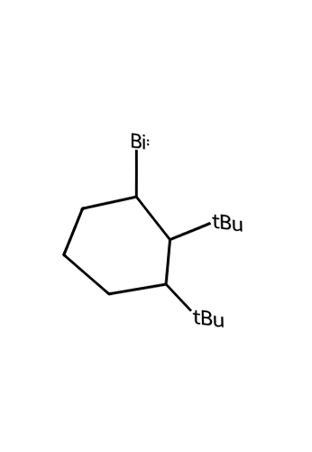 CC(C)(C)C1CCC[CH]([Bi])C1C(C)(C)C